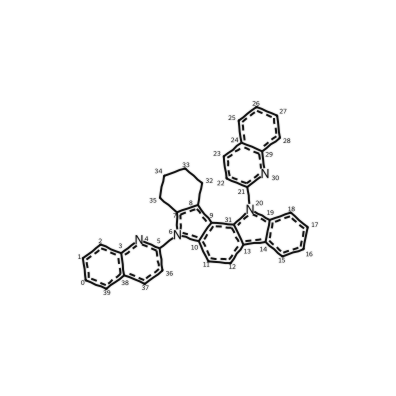 c1ccc2nc(-n3c4c(c5c3ccc3c6ccccc6n(-c6ccc7ccccc7n6)c35)CCCC4)ccc2c1